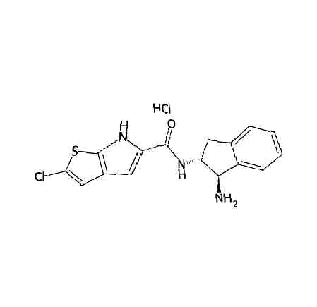 Cl.N[C@@H]1c2ccccc2C[C@H]1NC(=O)c1cc2cc(Cl)sc2[nH]1